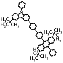 CC(C)(C)c1ccc2c(-c3ccc(-c4ccc(-c5ccc6c(c5)c5cc(C(C)(C)C)ccc5n6-c5ccccc5)cc4)cc3)c3cc(C(C)(C)C)ccc3c(-c3ccccc3)c2c1